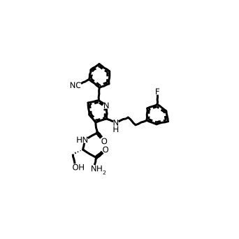 N#Cc1ccccc1-c1ccc(C(=O)N[C@@H](CO)C(N)=O)c(NCCc2cccc(F)c2)n1